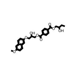 CCC(O)COC(=O)c1ccc(C(=O)OCC(O)COc2ccc3cc(OC)ccc3c2)cc1